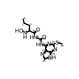 CCCC(NO)C(=O)NC(=O)Nc1nc(SC)nc2[nH]cnc12